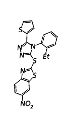 CCc1ccccc1-n1c(Sc2nc3ccc([N+](=O)[O-])cc3s2)nnc1-c1cccs1